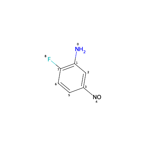 Nc1cc(N=O)ccc1F